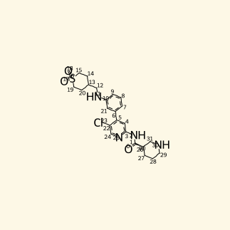 O=C(Nc1cc(-c2cccc(NCC3CCS(=O)(=O)CC3)c2)c(Cl)cn1)[C@@H]1CCCNC1